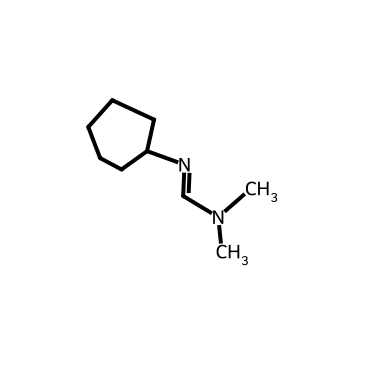 CN(C)C=NC1CCCCC1